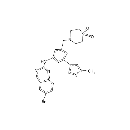 Cn1cc(-c2cc(CN3CCS(=O)(=O)CC3)cc(Nc3ncc4cc(Br)ccc4n3)c2)cn1